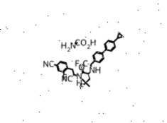 CC(C)(F)C[C@H](N[C@@H](c1ccc(-c2ccc(C3CC3)cc2)cc1)C(F)(F)F)C(=O)N[C@H](C#N)Cc1ccc(C#N)cc1F.NC(=O)O